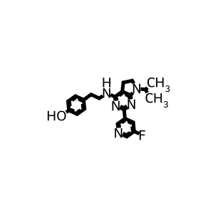 CC(C)N1CCc2c(NCCc3ccc(O)cc3)nc(-c3cncc(F)c3)nc21